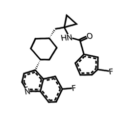 O=C(NC1(C[C@H]2CC[C@@H](c3ccnc4ccc(F)cc43)CC2)CC1)c1cccc(F)c1